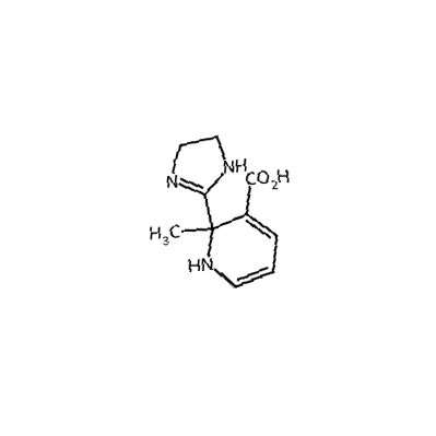 CC1(C2=NCCN2)NC=CC=C1C(=O)O